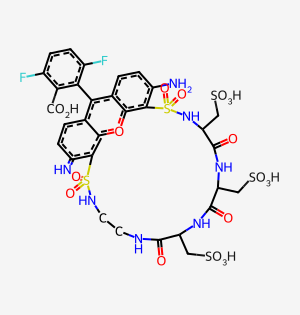 N=c1ccc2c(-c3c(F)ccc(F)c3C(=O)O)c3ccc(N)c4c3oc-2c1S(=O)(=O)NCCNC(=O)C(CS(=O)(=O)O)NC(=O)C(CS(=O)(=O)O)NC(=O)C(CS(=O)(=O)O)NS4(=O)=O